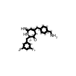 C[C@]1(Cc2cc(F)cc(F)c2)NC(=N)C=C(Cc2ccc(CN)cc2)CC1=O